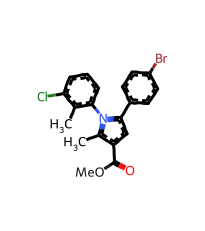 COC(=O)c1cc(-c2ccc(Br)cc2)n(-c2cccc(Cl)c2C)c1C